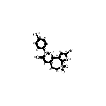 O=c1cc2c(nn1-c1ccc(Cl)cc1)-c1cc(Br)sc1S(=O)(=O)CC2